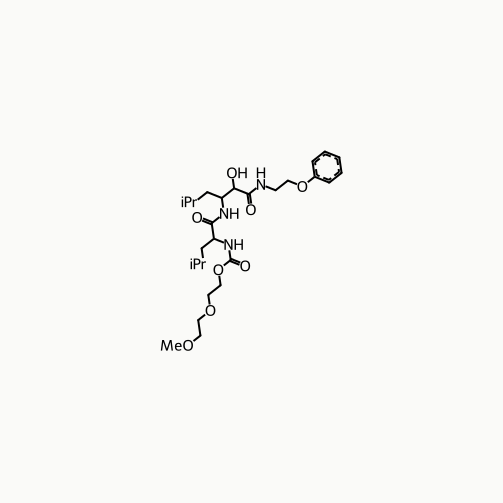 COCCOCCOC(=O)NC(CC(C)C)C(=O)NC(CC(C)C)C(O)C(=O)NCCOc1ccccc1